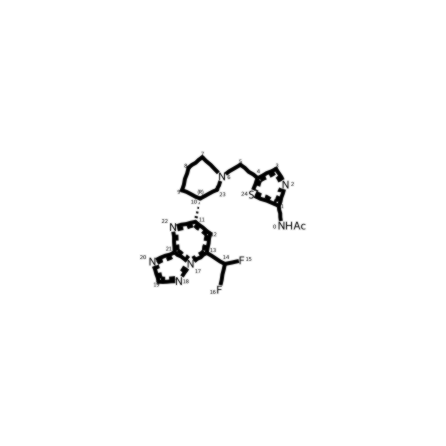 CC(=O)Nc1ncc(CN2CCC[C@@H](c3cc(C(F)F)n4ncnc4n3)C2)s1